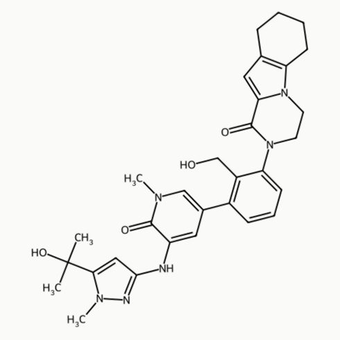 Cn1nc(Nc2cc(-c3cccc(N4CCn5c(cc6c5CCCC6)C4=O)c3CO)cn(C)c2=O)cc1C(C)(C)O